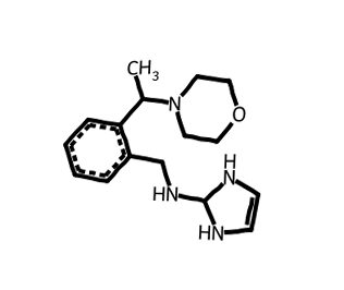 CC(c1ccccc1CNC1NC=CN1)N1CCOCC1